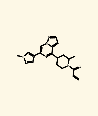 C=CC(=O)N1CCC(c2nc(-c3cnn(C)c3)cn3nccc23)CC1C